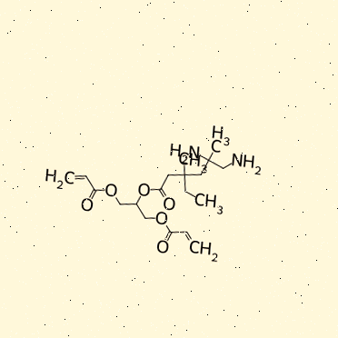 C=CC(=O)OCC(COC(=O)C=C)OC(=O)CC(C)(CC)CC(C)(N)CN